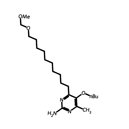 CCCCOc1c(C)nc(N)nc1CCCCCCCCCCOCOC